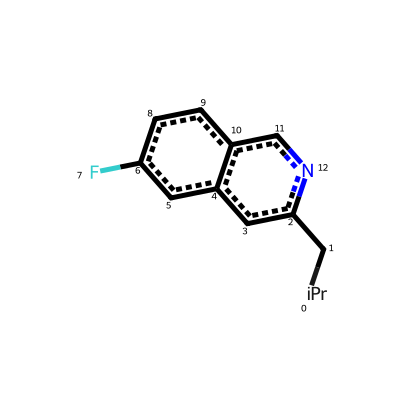 CC(C)Cc1cc2cc(F)ccc2cn1